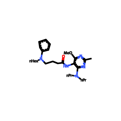 CCCCCCN(CCCC(=O)Nc1c(OC)nc(C)nc1N(CCC)CCC)c1ccccc1